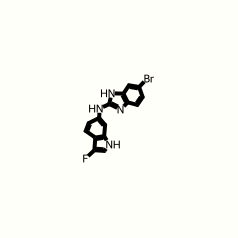 Fc1c[nH]c2cc(Nc3nc4ccc(Br)cc4[nH]3)ccc12